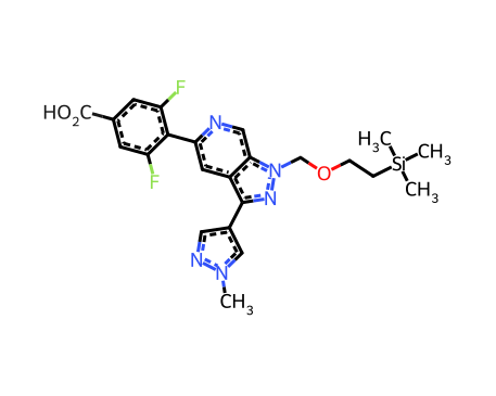 Cn1cc(-c2nn(COCC[Si](C)(C)C)c3cnc(-c4c(F)cc(C(=O)O)cc4F)cc23)cn1